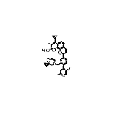 Cc1cc(-c2ccc(C3CCc4ccc([C@H](C5CC5)[C@H](C)C(=O)O)cc4O3)cc2CN2CCOC3(CC3)C2)c(F)cn1